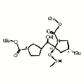 C[SiH](C)O[C@]1(C(O)C2CCN(C(=O)OC(C)(C)C)C2)C[C@@H](C(C)(C)C)CN1C(=O)OC(C)(C)C